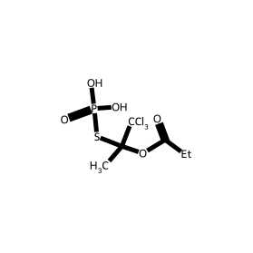 CCC(=O)OC(C)(SP(=O)(O)O)C(Cl)(Cl)Cl